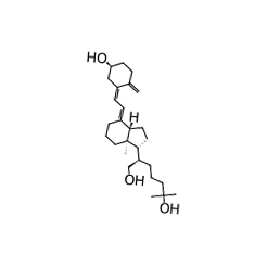 C=C1CC[C@H](O)C/C1=C/C=C1\CCC[C@]2(C)[C@@H]([C@H](CO)CCCC(C)(C)O)CC[C@@H]12